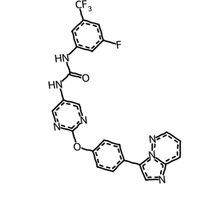 O=C(Nc1cnc(Oc2ccc(-c3cnc4cccnn34)cc2)nc1)Nc1cc(F)cc(C(F)(F)F)c1